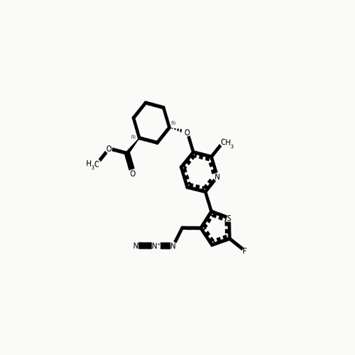 COC(=O)[C@H]1CCC[C@H](Oc2ccc(-c3sc(F)cc3CN=[N+]=[N-])nc2C)C1